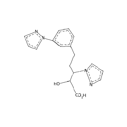 O=C(O)C(O)C(CCc1cccc(-n2cccn2)c1)n1cccn1